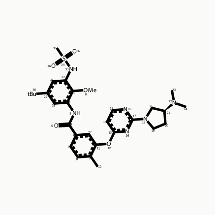 COc1c(NC(=O)c2ccc(C)c(Oc3ccnc(N4CC[C@H](N(C)C)C4)n3)c2)cc(C(C)(C)C)cc1NS(C)(=O)=O